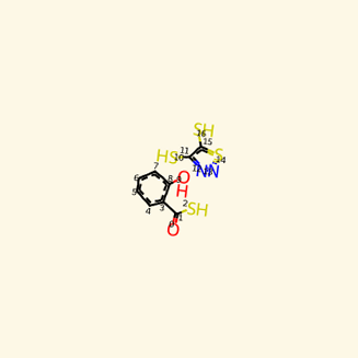 O=C(S)c1ccccc1O.Sc1nnsc1S